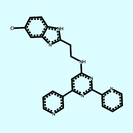 Clc1ccc2[nH]c(CCNc3cc(-c4cccnc4)nc(-c4ccccn4)n3)nc2c1